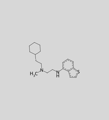 CN(CCNc1cccc2sccc12)CCC1CCCCC1